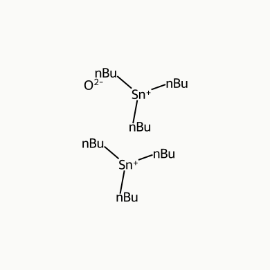 CCC[CH2][Sn+]([CH2]CCC)[CH2]CCC.CCC[CH2][Sn+]([CH2]CCC)[CH2]CCC.[O-2]